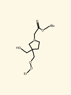 CCOOCC1(CO)CCN(CC(=O)OC(C)(C)C)C1